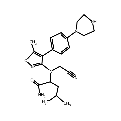 Cc1onc(N(CC#N)C(CC(C)C)C(N)=O)c1-c1ccc(N2CCNCC2)cc1